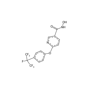 O=C(NO)c1ccc(Oc2ccc(C(F)(C(F)(F)F)C(F)(F)F)cc2)nc1